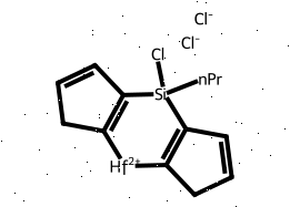 CCC[Si]1(Cl)C2=[C](CC=C2)[Hf+2][C]2=C1C=CC2.[Cl-].[Cl-]